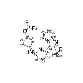 FC(F)Oc1ccc(Nc2cccc(-c3c(C(F)(F)F)nc4cnccn34)n2)cc1